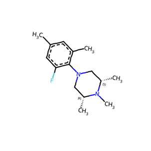 Cc1cc(C)c(N2C[C@@H](C)N(C)[C@@H](C)C2)c(F)c1